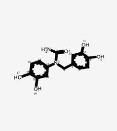 NC(=O)N(Cc1ccc(O)c(O)c1)c1ccc(O)c(O)c1